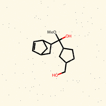 COC(O)(C1CCC(CO)C1)C1CC2C=CC1C2